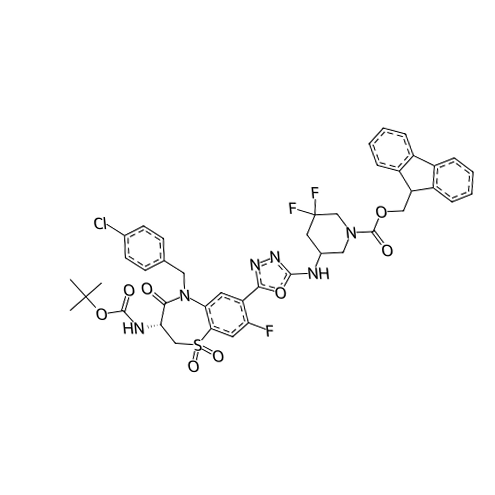 CC(C)(C)OC(=O)N[C@H]1CS(=O)(=O)c2cc(F)c(-c3nnc(NC4CN(C(=O)OCC5c6ccccc6-c6ccccc65)CC(F)(F)C4)o3)cc2N(Cc2ccc(Cl)cc2)C1=O